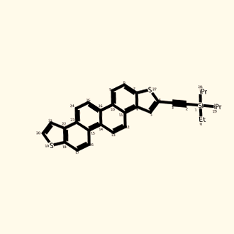 CC[Si](C#Cc1cc2c(ccc3c2ccc2c4ccc5sccc5c4ccc32)s1)(C(C)C)C(C)C